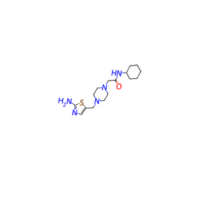 Nc1ncc(CN2CCN(CC(=O)NC3CCCCC3)CC2)s1